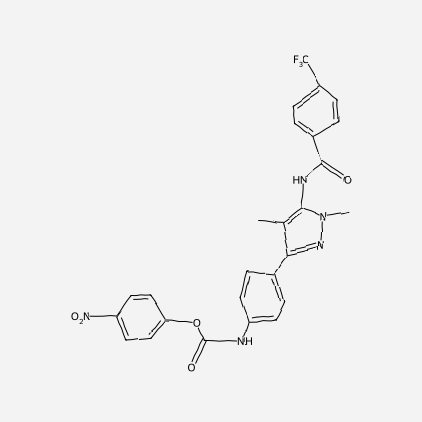 Cc1c(-c2ccc(NC(=O)Oc3ccc([N+](=O)[O-])cc3)cc2)nn(C)c1NC(=O)c1ccc(C(F)(F)F)cc1